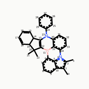 Cc1c(C)n2c3c(cccc13)B1C3=C(C4C=CC=CC4C3(C)C)N(c3ccccc3)c3cccc-2c31